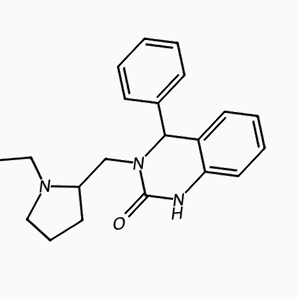 CCN1CCCC1CN1C(=O)Nc2ccccc2C1c1ccccc1